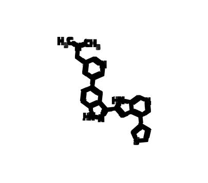 CN(C)Cc1cncc(-c2ccc3[nH]nc(-c4cc5c(-c6ccsc6)cncc5[nH]4)c3c2)c1